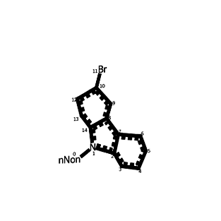 CCCCCCCCCn1c2ccccc2c2cc(Br)ccc21